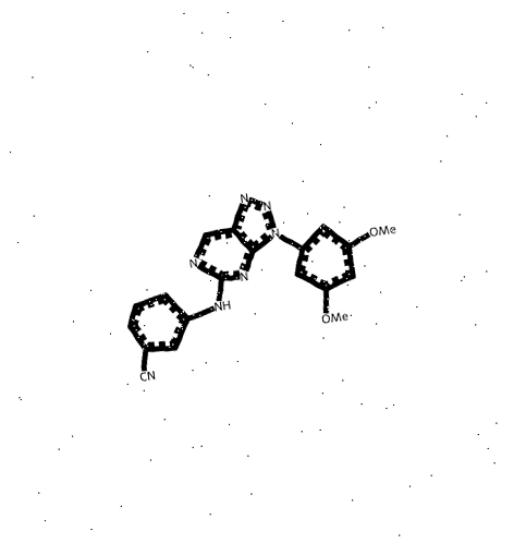 COc1cc(OC)cc(-n2nnc3cnc(Nc4cccc(C#N)c4)nc32)c1